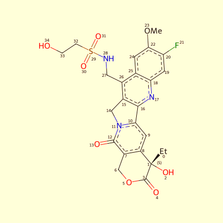 CC[C@@]1(O)C(=O)OCc2c1cc1n(c2=O)Cc2c-1nc1cc(F)c(OC)cc1c2CNS(=O)(=O)CCO